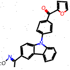 CC(=O)O/N=C(\C)c1ccc2c(c1)c1ccccc1n2-c1ccc(C(=O)c2ccco2)cc1